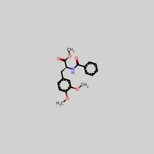 COC(=O)[C@H](Cc1ccc(OC)c(OC)c1)NC(=O)c1ccccc1